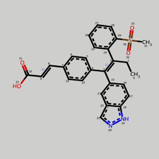 CC/C(=C(/c1ccc(/C=C/C(=O)O)cc1)c1ccc2[nH]ncc2c1)c1ccccc1S(C)(=O)=O